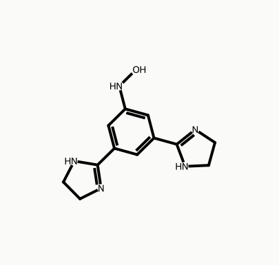 ONc1cc(C2=NCCN2)cc(C2=NCCN2)c1